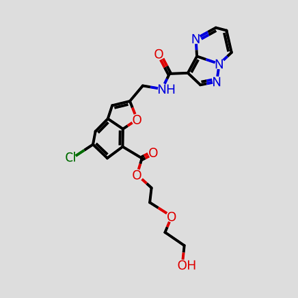 O=C(OCCOCCO)c1cc(Cl)cc2cc(CNC(=O)c3cnn4cccnc34)oc12